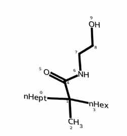 CCCCCCCC(C)(CCCCCC)C(=O)NCCO